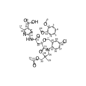 COc1cccc([C@H]2O[C@H](CC(=O)Nc3nc(C)c(C(=O)O)s3)C(=O)N(CC(C)(C)COC(C)=O)c3ccc(Cl)cc32)c1OC